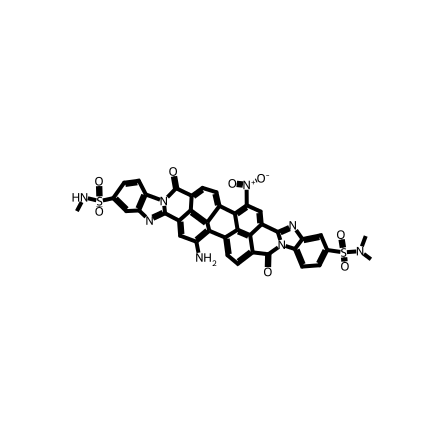 CNS(=O)(=O)c1ccc2c(c1)nc1c3cc(N)c4c5ccc6c(=O)n7c8ccc(S(=O)(=O)N(C)C)cc8nc7c7cc([N+](=O)[O-])c(c8ccc(c(=O)n21)c3c84)c5c67